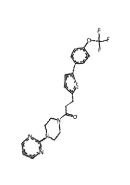 O=C(CCc1ccc(-c2ccc(OC(F)(F)F)cc2)s1)N1CCN(c2ncccn2)CC1